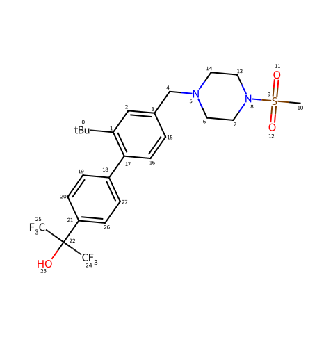 CC(C)(C)c1cc(CN2CCN(S(C)(=O)=O)CC2)ccc1-c1ccc(C(O)(C(F)(F)F)C(F)(F)F)cc1